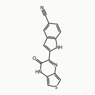 N#Cc1ccc2[nH]c(-c3nc4cscc4[nH]c3=O)cc2c1